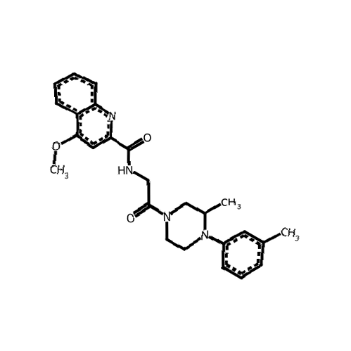 COc1cc(C(=O)NCC(=O)N2CCN(c3cccc(C)c3)C(C)C2)nc2ccccc12